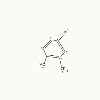 Oc1ccc(F)cc1C(Cl)(Cl)Cl